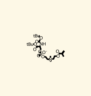 C=C(C)C(=O)OCC[N+](C)(C)CCOP(=O)([O-])OCC(NC(=O)OC(C)(C)C)C(=O)OC(C)(C)C